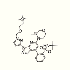 C[C@@H]1COCCN1c1cc(-c2ccccc2S(=O)(=O)NC(C)(C)C)c2cnn(-c3ccn(COCC[Si](C)(C)C)n3)c2n1